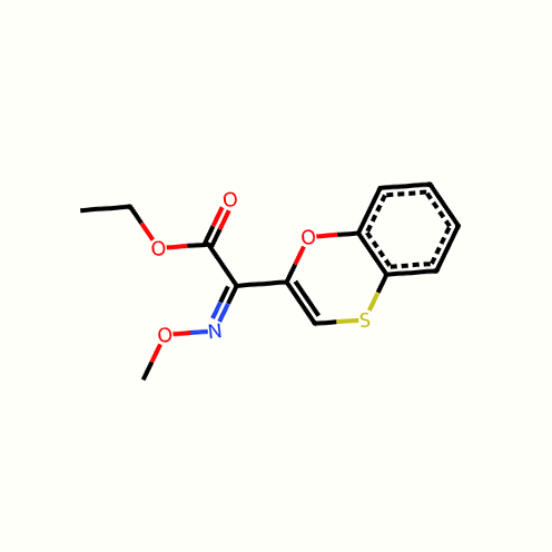 CCOC(=O)C(=NOC)C1=CSc2ccccc2O1